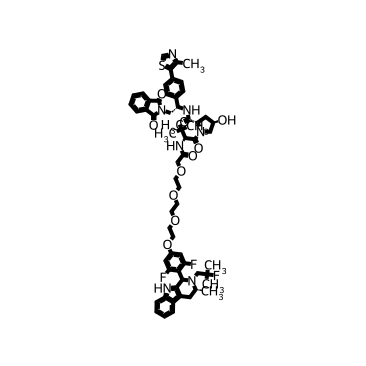 Cc1ncsc1-c1ccc([C@@H](CN2C(=O)c3ccccc3C2=O)NC(=O)[C@@H]2C[C@@H](O)CN2C(=O)[C@@H](NC(=O)COCCOCCOCCOc2cc(F)c(C3c4[nH]c5ccccc5c4C[C@@H](C)N3CC(C)(C)F)c(F)c2)C(C)(C)C)cc1